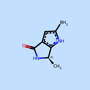 Bc1cc2c([nH]1)[C@@H](C)NC2=O